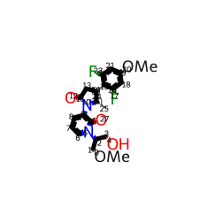 COCC(CO)n1cccc(N2C(=O)C[C@H](c3c(F)cc(OC)cc3F)[C@@H]2C)c1=O